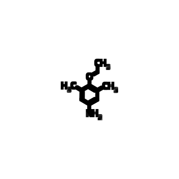 CCOc1c(C)cc(N)cc1C